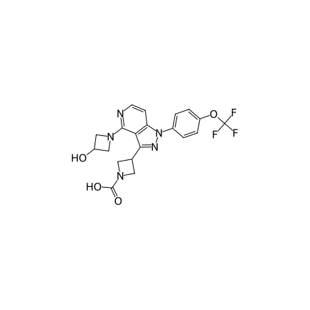 O=C(O)N1CC(c2nn(-c3ccc(OC(F)(F)F)cc3)c3ccnc(N4CC(O)C4)c23)C1